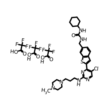 CN1CCN(CCCNc2ncc(Cl)c(-c3cc4ccc(CNC(=O)NC5CCCCC5)cc4s3)n2)CC1.O=C(O)C(F)(F)F.O=C(O)C(F)(F)F.O=C(O)C(F)(F)F